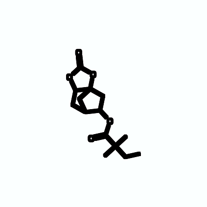 CCC(C)(C)C(=O)OC1CC23CC1CC2OC(=O)O3